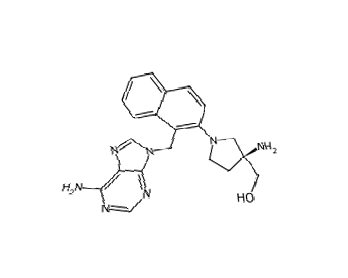 Nc1ncnc2c1ncn2Cc1c(N2CC[C@@](N)(CO)C2)ccc2ccccc12